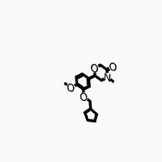 COc1ccc(C2CN(C)C(=O)CO2)cc1OCC1CCCC1